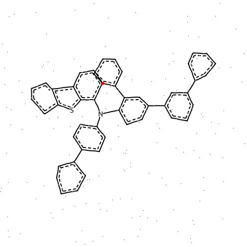 c1ccc(-c2ccc(N(c3ccc(-c4cccc(-c5ccccc5)c4)cc3-c3ccccc3)c3cccc4c3sc3ccccc34)cc2)cc1